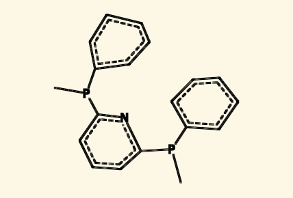 CP(c1ccccc1)c1cccc(P(C)c2ccccc2)n1